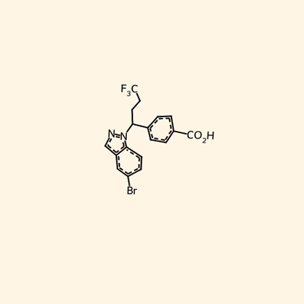 O=C(O)c1ccc(C(CCC(F)(F)F)n2ncc3cc(Br)ccc32)cc1